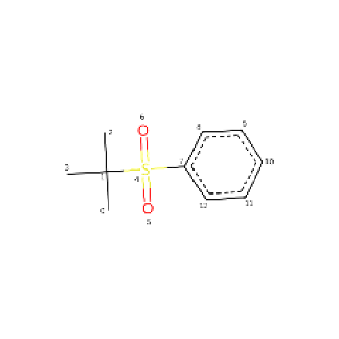 CC(C)(C)S(=O)(=O)c1ccccc1